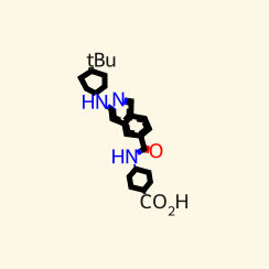 CC(C)(C)C1CCC(Nc2cc3cc(C(=O)N[C@H]4CC[C@H](C(=O)O)CC4)ccc3cn2)CC1